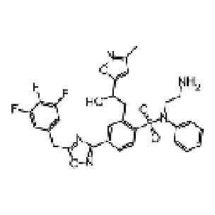 Cc1cc(C(O)Cc2cc(-c3noc(Cc4cc(F)c(F)c(F)c4)n3)ccc2S(=O)(=O)N(CCN)c2ccccc2)on1